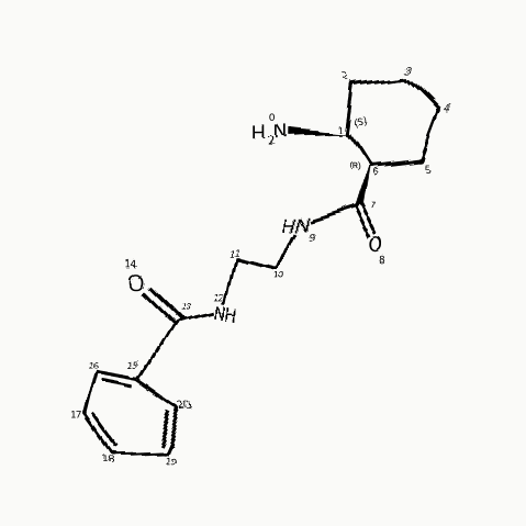 N[C@H]1CCCC[C@H]1C(=O)NCCNC(=O)c1ccccc1